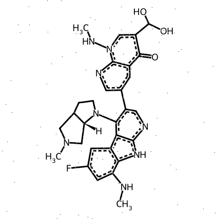 CNc1cc(F)cc2c1[nH]c1ncc(-c3cnc4c(c3)c(=O)c(C(O)O)cn4NC)c(N3CCC4CN(C)C[C@H]43)c12